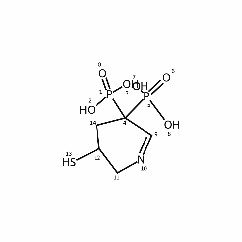 O=P(O)(O)C1(P(=O)(O)O)C=NCC(S)C1